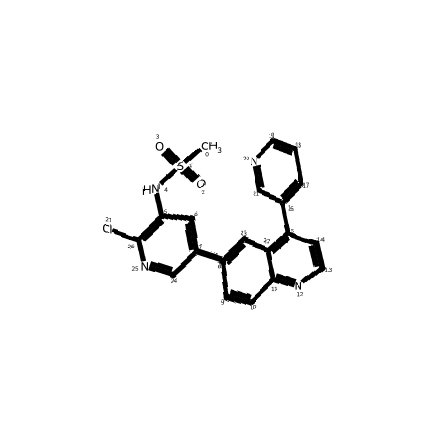 CS(=O)(=O)Nc1cc(-c2ccc3nccc(-c4cccnc4)c3c2)cnc1Cl